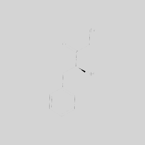 CC(C)CC(=O)[C@@H](O)Cc1ccccc1